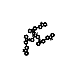 CC1(C)c2ccccc2-c2ccc(-c3ccc4c5ccccc5n(-c5cccc(-c6nc(-n7c8ccccc8c8ccc(-c9ccc%10c(c9)C(C)(C)c9ccccc9-%10)cc87)nc7ccc(-n8c9ccccc9c9ccc(-c%10ccc%11c(c%10)C(C)(C)c%10ccccc%10-%11)cc98)cc67)c5)c4c3)cc21